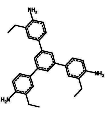 CCc1cc(-c2cc(-c3ccc(N)c(CC)c3)cc(-c3ccc(N)c(CC)c3)c2)ccc1N